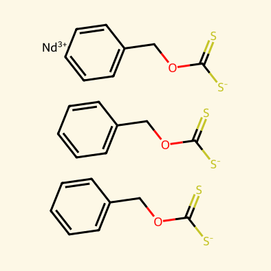 S=C([S-])OCc1ccccc1.S=C([S-])OCc1ccccc1.S=C([S-])OCc1ccccc1.[Nd+3]